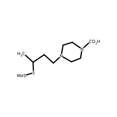 CSSC(C)CCN1CCN(C(=O)O)CC1